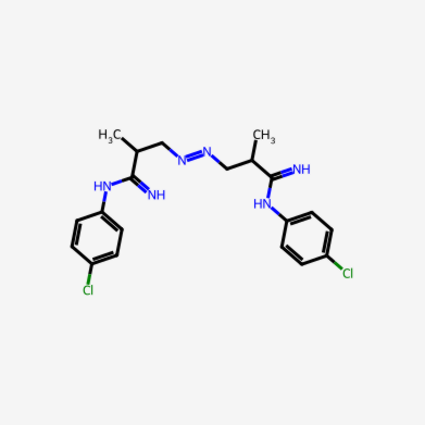 CC(CN=NCC(C)C(=N)Nc1ccc(Cl)cc1)C(=N)Nc1ccc(Cl)cc1